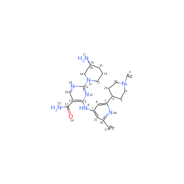 CC(=O)N1CCC(c2cc(Nc3nc(N4CCC[C@H](N)C4)ncc3C(N)=O)cc(C(C)C)n2)CC1